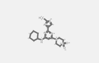 Cc1nc(-c2nc(NC3CCCCC3)cc(N3CCS(=O)(=O)CC3)n2)cs1